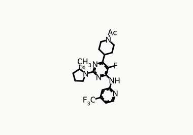 CC(=O)N1CCC(c2nc(N3CCC[C@H]3C)nc(Nc3cc(C(F)(F)F)ccn3)c2F)CC1